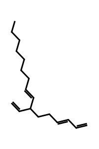 C=CC=CCCC(C=C)C=CCCCCCCC